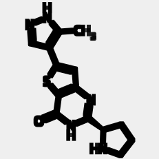 Cc1[nH]ncc1-c1cc2nc([C@H]3CCCN3)[nH]c(=O)c2s1